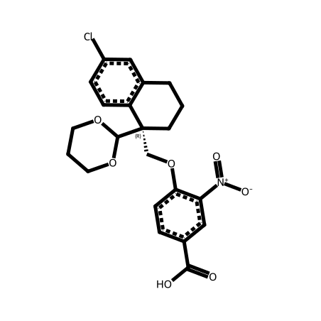 O=C(O)c1ccc(OC[C@@]2(C3OCCCO3)CCCc3cc(Cl)ccc32)c([N+](=O)[O-])c1